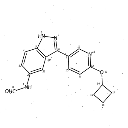 O=CNc1ccc2[nH]nc(-c3ccc(OC4CCC4)nc3)c2c1